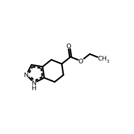 CCOC(=O)C1CCc2[nH]ncc2C1